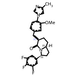 COc1cc(/C=C2\CC[C@H]3CC[C@@H](c4cc(F)c(F)c(F)c4)N3C2=O)ccc1-n1cnc(C)c1